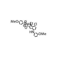 CCn1c(C(=O)NS(=O)(=O)c2ccc(OC)cc2)cc2c(Nc3cccc(OC)c3)ccc(Cl)c21